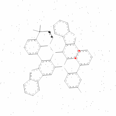 CC(C)(C)c1ccc(N2c3cc4c(sc5ccccc54)c4c3B(c3c2ccc2oc5ccccc5c32)N2c3ccccc3C(C)(C)c3cccc-4c32)c(-c2ccccc2)c1